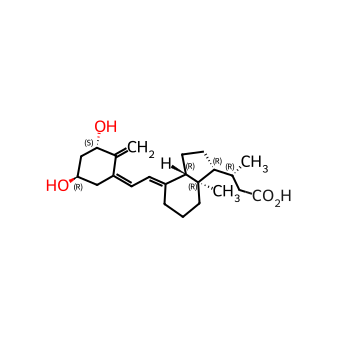 C=C1C(=CC=C2CCC[C@]3(C)[C@@H]([C@H](C)CC(=O)O)CC[C@@H]23)C[C@@H](O)C[C@@H]1O